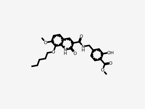 CCCCCOc1c(OC)ccc2cc(C(=O)NCc3ccc(C(=O)OC)c(O)c3)c(=O)[nH]c12